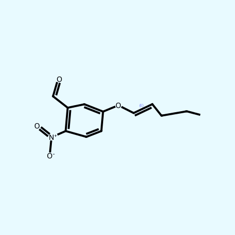 CCC/C=C/Oc1ccc([N+](=O)[O-])c(C=O)c1